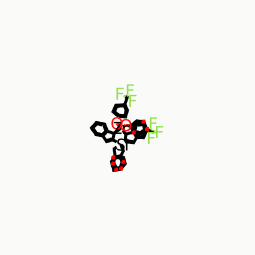 FC(F)(F)c1ccc([O][Zr]2([O]c3ccc(C(F)(F)F)cc3)[CH]3C(=Cc4ccccc43)[Si](Cc3ccccc3)(Cc3ccccc3)C3=Cc4ccccc4[CH]32)cc1